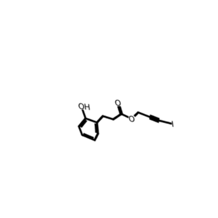 O=C(CCc1ccccc1O)OCC#CI